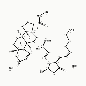 CC(C)(C)NC(=O)[C@H]1CC[C@H]2[C@@H]3CC[C@H]4NC(=O)C=C[C@]4(C)[C@H]3CC[C@]12C.CCCCC[C@H](O)/C=C/[C@H]1[C@H](O)CC(=O)[C@@H]1C/C=C\CCCC(=O)O.[NaH].[NaH]